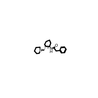 O=C(Cc1ccccc1)N[C@@H]1CCCC[C@H]1CN1CCCCC1